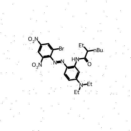 CCCCC(CC)C(=O)Nc1cc(N(CC)CC)ccc1N=Nc1c(Br)cc([N+](=O)[O-])cc1[N+](=O)[O-]